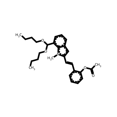 CCCCOC(OCCCC)c1cccc2cc(/C=C/c3ccccc3OC(C)=O)n(C)c12